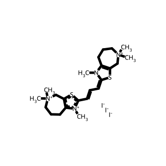 CN1C(=CC=Cc2sc3c([n+]2C)CCC[N+](C)(C)C3)SC2=C1CCC[N+](C)(C)C2.[I-].[I-].[I-]